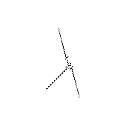 CCCCCCCCCC=CC=CC=CC=CC=CC=CC(=O)OCCc1ccc(OC(=O)C=CC=CC=CC=CC=CC=CCCCCCCCCC)c(OC(=O)C=CC=CC=CC=CC=CC=CCCCCCCCCC)c1